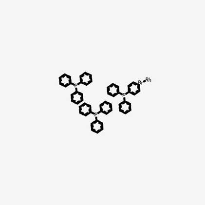 [Br][Rh].c1ccc(P(c2ccccc2)c2ccccc2)cc1.c1ccc(P(c2ccccc2)c2ccccc2)cc1.c1ccc(P(c2ccccc2)c2ccccc2)cc1